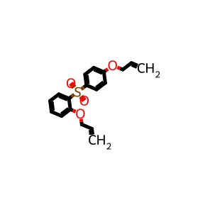 C=CCOc1ccc(S(=O)(=O)c2ccccc2OCC=C)cc1